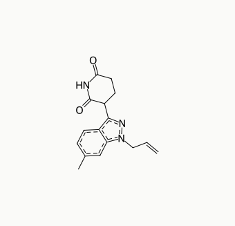 C=CCn1nc(C2CCC(=O)NC2=O)c2ccc(C)cc21